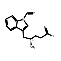 C[C@H](CCC(=O)O)Cc1cn(C=O)c2ccccc12